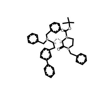 CC(C)(C)OC(=O)N1CCN(Cc2ccccc2)C(=O)[C@@H]1C[C@H](Cc1cccc(-c2ccccc2)c1)N(Cc1ccccc1)Cc1ccccc1